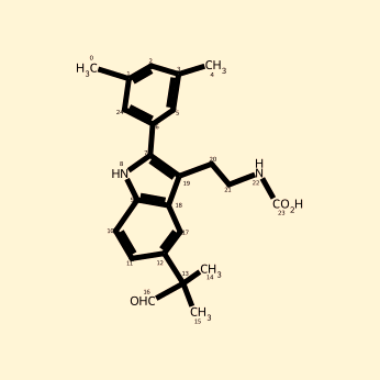 Cc1cc(C)cc(-c2[nH]c3ccc(C(C)(C)C=O)cc3c2CCNC(=O)O)c1